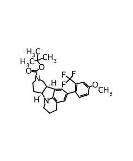 COc1ccc(-c2cc3c4c(c2)[C@@H]2CN(C(=O)OC(C)(C)C)CC[C@@H]2N4CCC3)c(C(F)(F)F)c1